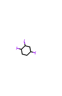 IC1CCC(I)C(I)C1